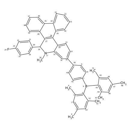 Cc1cc(C)c(B(c2ccc(-c3ccc4c(c3)N(C)C(c3ccc(F)cc3)c3c-4c4ccccc4c4ccccc34)cc2)c2c(C)cc(C)cc2C)c(C)c1